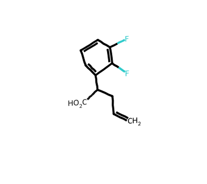 C=CCC(C(=O)O)c1cccc(F)c1F